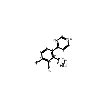 Cl.Cl.Fc1ccc(-c2ccncn2)c(F)c1F